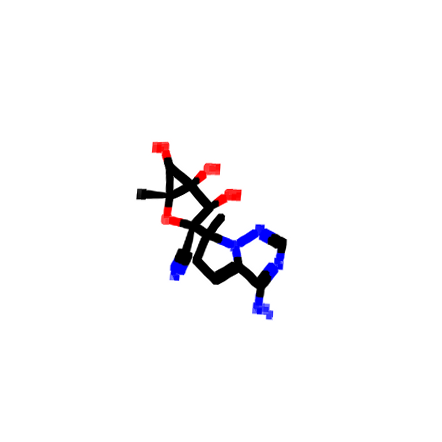 CC1([C@]2(C#N)O[C@@H]3C(O)[C@]3(O)[C@H]2O)CC=C2C(N)=NC=NN21